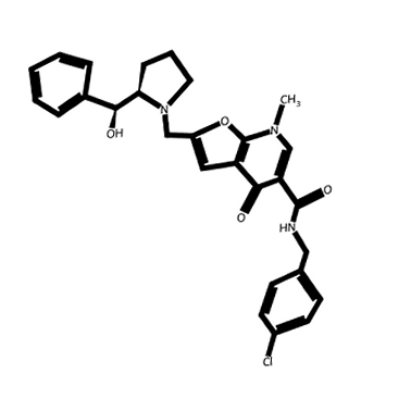 Cn1cc(C(=O)NCc2ccc(Cl)cc2)c(=O)c2cc(CN3CCC[C@@H]3[C@@H](O)c3ccccc3)oc21